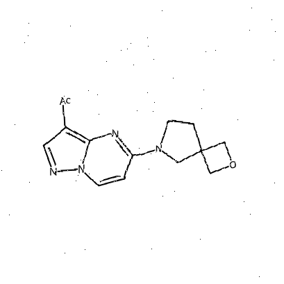 CC(=O)c1cnn2ccc(N3CCC4(COC4)C3)nc12